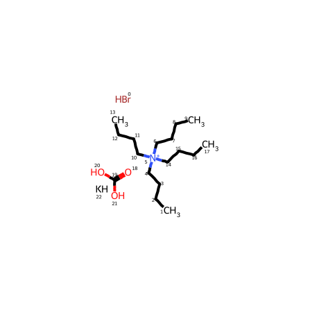 Br.CCCC[N+](CCCC)(CCCC)CCCC.O=C(O)O.[KH]